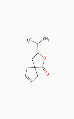 CC(C)C1CC2(CC=CC2)C(=O)O1